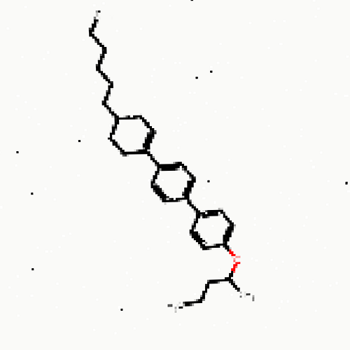 CCCCCCC1CC=C(c2ccc(-c3ccc(OC(C)CCC)cc3)cc2)CC1